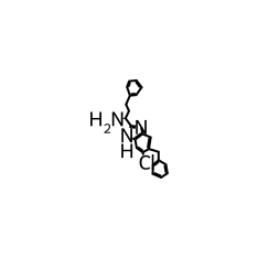 N[C@H](CCc1ccccc1)c1nc2cc(Cc3ccccc3)c(Cl)cc2[nH]1